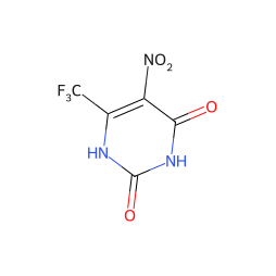 O=c1[nH]c(C(F)(F)F)c([N+](=O)[O-])c(=O)[nH]1